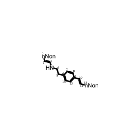 CCCCCCCCCC=CNCCc1ccc(C=CCCCCCCCCC)cc1